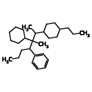 CCCC1CCC(C(C)C(C)(C2CCCCC2)C(CCC)c2ccccc2)CC1